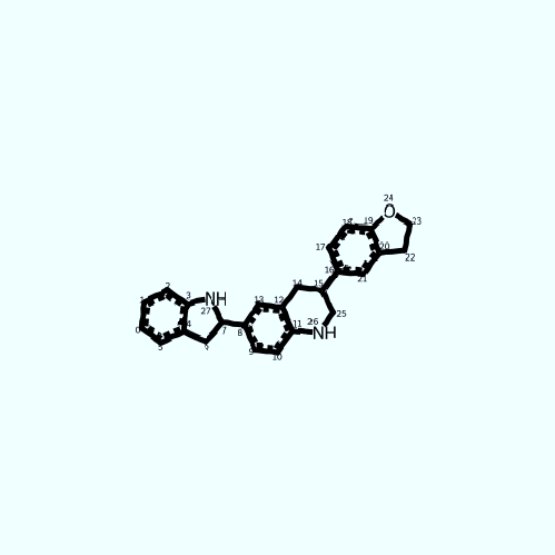 c1ccc2c(c1)CC(c1ccc3c(c1)CC(c1ccc4c(c1)CCO4)CN3)N2